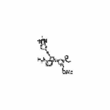 C=CC(=O)N1C[C@@H](n2cc(C#Cc3ccc4c(c3)nc(C)n4C)c3c(N)nccc32)C[C@@H]1CCOC